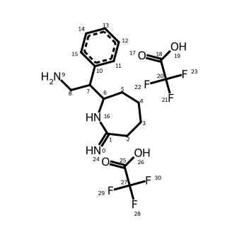 N=C1CCCCC(C(CN)c2ccccc2)N1.O=C(O)C(F)(F)F.O=C(O)C(F)(F)F